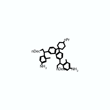 CCCCCCCCCCCC(c1ccc(C2(c3ccc(C(CCCCCCCCCCC)c4ccc(N)cc4C)cc3)CCC(CCC)CC2)cc1)c1ccc(N)cc1C